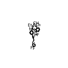 CCC1c2nc3ccc(C#CCCN4CCC(F)(F)C4)cc3n2-c2c(OC(F)F)cccc2C(=O)N1C